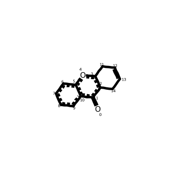 O=c1c2c(oc3ccccc13)CC=CC2